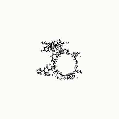 CC(=O)OCC(=O)[C@@]1(O)CC[C@H]2[C@@H]3C[C@H](C)C4=CC(=O)C=C[C@]4(C)[C@H]3[C@@H](O)C[C@@]21C.CO[C@H]1C[C@@H]2CC[C@@H](C)[C@@](O)(O2)C(=O)C(=O)N2CCCC[C@H]2C(=O)O[C@H]([C@H](C)C[C@@H]2CC[C@H](n3cnnn3)[C@H](OC)C2)CC(=O)[C@H](C)/C=C(\C)[C@@H](O)[C@@H](OC)C(=O)[C@H](C)C[C@H](C)/C=C/C=C/C=C/1C